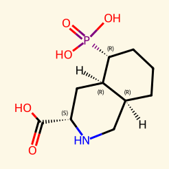 O=C(O)[C@@H]1C[C@@H]2[C@@H](CCC[C@H]2P(=O)(O)O)CN1